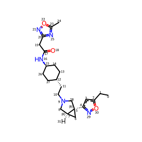 CCc1cc([C@]23C[C@H]2CN(CC[C@H]2CC[C@H](NC(=O)Cc4noc(C)n4)CC2)C3)no1